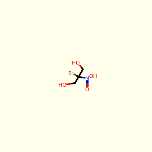 O=[N+](O)C(Br)(CO)CO